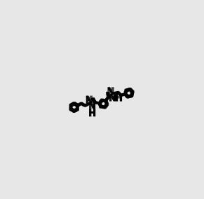 c1ccc(CCc2ncc(-c3cccc(-c4cnc(CCc5ccccc5)[nH]4)c3)[nH]2)cc1